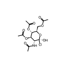 CC(=O)N[C@@H]1[C@@H](OC(C)=O)[C@H](OC(C)=O)[C@@H](COC(C)=O)O[C@@]1(O)Cl